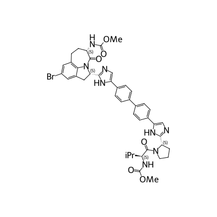 COC(=O)N[C@H]1CCc2cc(Br)cc3c2N(C1=O)[C@H](c1ncc(-c2ccc(-c4ccc(-c5cnc([C@@H]6CCCN6C(=O)[C@@H](NC(=O)OC)C(C)C)[nH]5)cc4)cc2)[nH]1)C3